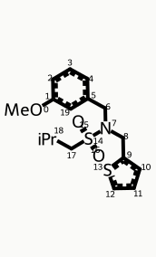 COc1cccc(CN(Cc2cccs2)S(=O)(=O)CC(C)C)c1